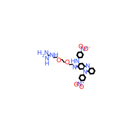 N=C(N)NCCOCCOCC/N=c1/cc2n(-c3ccc([N+](=O)[O-])cc3)c3ccccc3nc-2cc1Nc1ccc([N+](=O)[O-])cc1